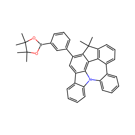 CC1(C)c2cccc3c2-c2c1c(-c1cccc(B4OC(C)(C)C(C)(C)O4)c1)cc1c4ccccc4n(c21)-c1ccccc1-3